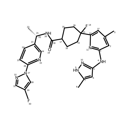 Cc1cc(Nc2cc(C)[nH]n2)nc(C2(F)CCC(C(=O)N[C@@H](C)c3ccc(-n4cc(F)cn4)nc3)CC2)c1